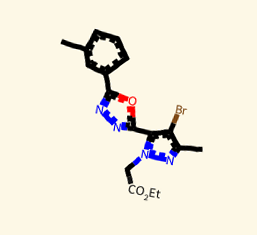 CCOC(=O)Cn1nc(C)c(Br)c1-c1nnc(-c2cccc(C)c2)o1